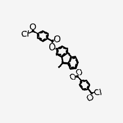 CC1c2cc(OC(=O)c3ccc(C(=O)Cl)cc3)ccc2-c2ccc(OC(=O)c3ccc(C(=O)Cl)cc3)cc21